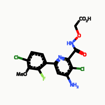 COc1c(Cl)ccc(-c2cc(N)c(Cl)c(C(=O)NOCC(=O)O)n2)c1F